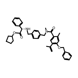 C=C(C)c1cc(C(=O)N(C)Cc2ccc(CN[C@H](C(=O)OC3CCCC3)c3ccccc3)cc2)c(C)cc1OCc1ccccc1